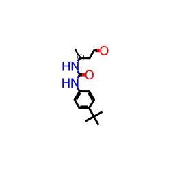 C[C@@H](CC=O)NC(=O)Nc1ccc(C(C)(C)C)cc1